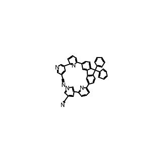 N#Cc1cncc(-c2cccc(-c3ccc4c(c3)-c3cc(-c5cccc(-c6cncc(C#N)c6)n5)ccc3C4(c3ccccc3)c3ccccc3)n2)c1